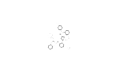 COc1ccc(C(=O)N2Cc3ccccc3C[C@H]2CN2CCOCC2)c(-c2cc(C(=O)N(c3ccccc3)c3ccc(O)cc3)c3n2CCCC3)c1.Cl